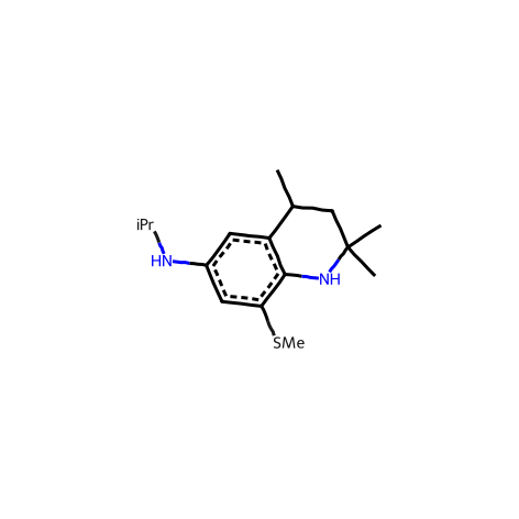 CSc1cc(NC(C)C)cc2c1NC(C)(C)CC2C